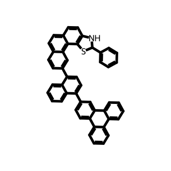 c1ccc(C2Nc3ccc4ccc5ccc(-c6ccc(-c7ccc8c9ccccc9c9ccccc9c8c7)c7ccccc67)cc5c4c3S2)cc1